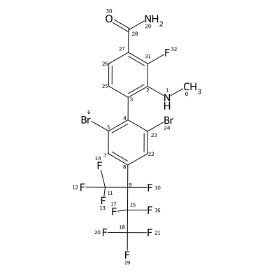 CNc1c(-c2c(Br)cc(C(F)(C(F)(F)F)C(F)(F)C(F)(F)F)cc2Br)ccc(C(N)=O)c1F